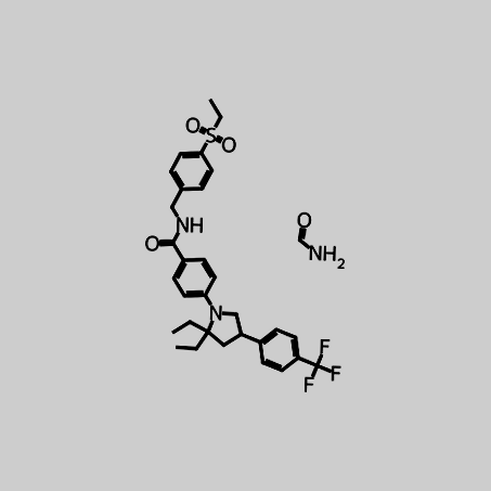 CCC1(CC)CC(c2ccc(C(F)(F)F)cc2)CN1c1ccc(C(=O)NCc2ccc(S(=O)(=O)CC)cc2)cc1.NC=O